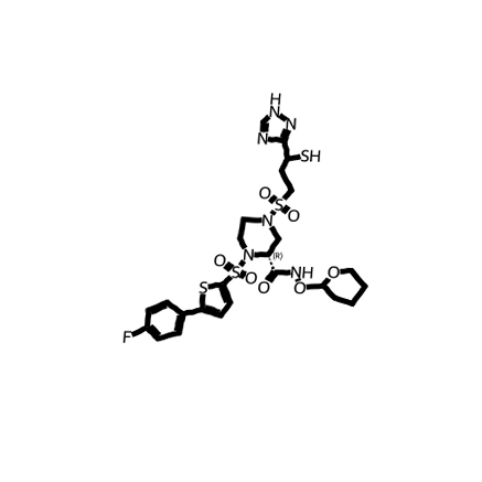 O=C(NOC1CCCCO1)[C@H]1CN(S(=O)(=O)CCC(S)c2nc[nH]n2)CCN1S(=O)(=O)c1ccc(-c2ccc(F)cc2)s1